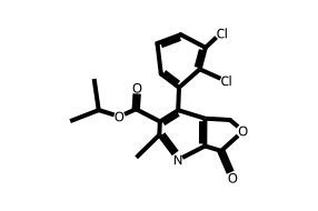 Cc1nc2c(c(-c3cccc(Cl)c3Cl)c1C(=O)OC(C)C)COC2=O